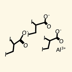 O=C([O-])C(I)CI.O=C([O-])C(I)CI.O=C([O-])C(I)CI.[Al+3]